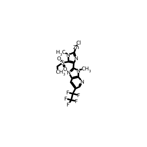 CCS(=O)(=O)c1c(-c2nc3cc(C(F)(F)C(F)(F)F)cnc3n2C)n[c]([Zn][Cl])n1C